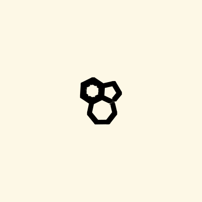 c1cc2c3c(c1)CCN3CCCC2